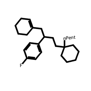 CCCCCC1(CCC(CC2=CCCCC2)c2ccc(F)cc2)CCCCC1